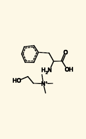 C[N+](C)(C)CCO.NC(Cc1ccccc1)C(=O)O